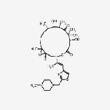 CC(=Cc1csc(CN2CCN(C)CC2)n1)[C@@H]1C[C@@H]2O[C@]2(C)CCC[C@H](C)[C@H](O)[C@@H](C)C(=O)C(C)(C)[C@@H](O)CC(=O)O1